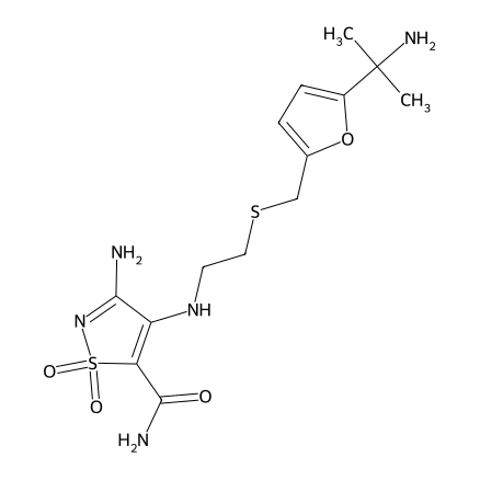 CC(C)(N)c1ccc(CSCCNC2=C(C(N)=O)S(=O)(=O)N=C2N)o1